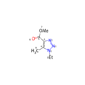 CCn1nnc(C(=O)OC)c1C